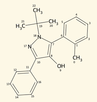 Cc1ccccc1-c1c(O)c(-c2ccccc2)nn1C(C)(C)C